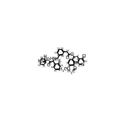 COc1ccc([C@H](Cc2c(Cl)cncc2Cl)OC(=O)Cc2cccc(CNC(C(=O)O[C@H]3CN4CCC3CC4)c3ccccc3F)c2)cc1OC